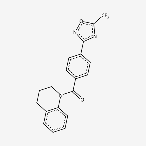 O=C(c1ccc(-c2noc(C(F)(F)F)n2)cc1)N1CCCc2ccccc21